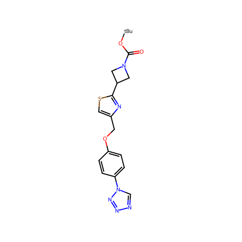 CC(C)(C)OC(=O)N1CC(c2nc(COc3ccc(-n4cnnn4)cc3)cs2)C1